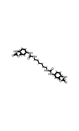 O=C(NCCCCCCNC(=O)Nc1ccc2[nH]c(=O)oc2c1)Nc1ccc2[nH]c(=O)oc2c1